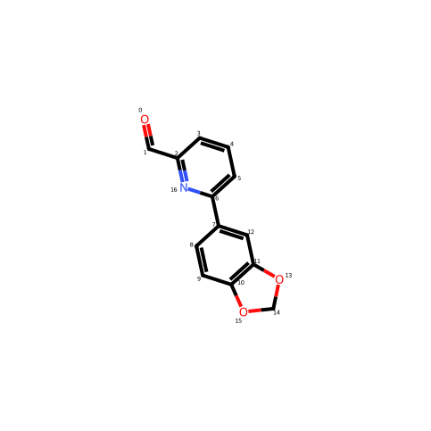 O=Cc1cccc(-c2ccc3c(c2)OCO3)n1